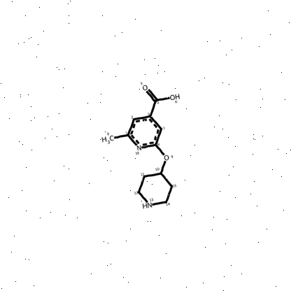 Cc1cc(C(=O)O)cc(OC2CCNCC2)n1